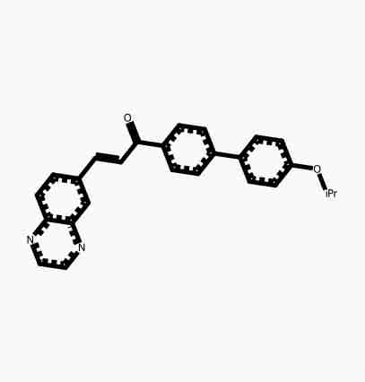 CC(C)Oc1ccc(-c2ccc(C(=O)C=Cc3ccc4nccnc4c3)cc2)cc1